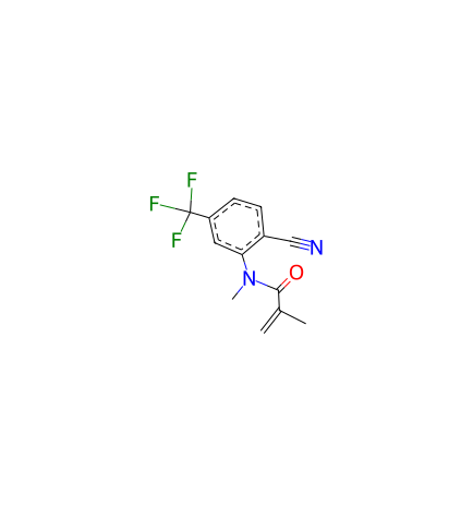 C=C(C)C(=O)N(C)c1cc(C(F)(F)F)ccc1C#N